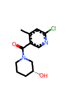 Cc1cc(Cl)ncc1C(=O)N1CCC[C@@H](O)C1